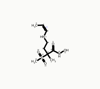 C/C=C\NCCC(C)(C(=O)NO)S(C)(=O)=O